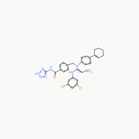 O=C(Nc1nn[nH]n1)c1ccc(CN(/C(=C\[N+](=O)[O-])Nc2cc(Cl)cc(Cl)c2)c2ccc(C3=CCCCC3)cc2)cc1